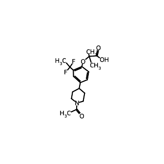 CC(=O)N1CCC(c2ccc(OC(C)(C)C(=O)O)c(C(C)(F)F)c2)CC1